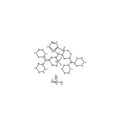 C[N+]1(C)CCC(P(C2CCCCC2)C2CCCCC2)CC1C(c1ccccc1)C1CC(P(C2CCCCC2)C2CCCCC2)CC[N+]1(C)C.[Cl-].[Cl-].[Cl][Ru][Cl]